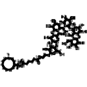 CCCCC(C)(NC(=O)CCCCC(=O)NCCO[C@H]1OC(CO)[C@H](O[C@H]2OC(CO)[C@@H](O[C@@H]3OC(CO)[C@@H](O[C@@H]4OC(C(=O)O)[C@@H](O[C@H]5OC(CO)[C@H](O[C@H]6OC(CO)[C@@H](O)C(O)C6O)C(O)C5O)C(O)C4O)C(O)C3O)C(O)C2O)C(O)C1O)C1CCCCCCC[C@H](C)CC1